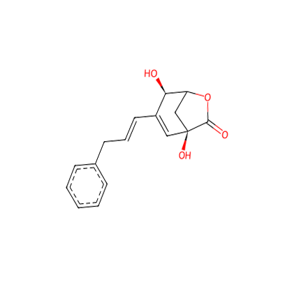 O=C1OC2C[C@@]1(O)C=C(/C=C/Cc1ccccc1)[C@H]2O